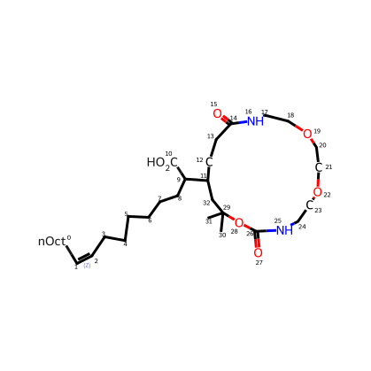 CCCCCCCC/C=C\CCCCCCC(C(=O)O)C1CCC(=O)NCCOCCOCCNC(=O)OC(C)(C)C1